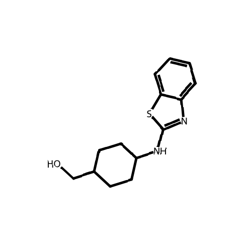 OCC1CCC(Nc2nc3ccccc3s2)CC1